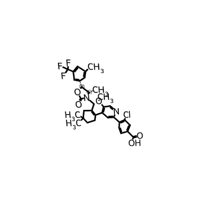 COc1cnc(-c2ccc(C(=O)O)cc2Cl)cc1C1=C(CN2C(=O)O[C@H](c3cc(C)cc(C(F)(F)F)c3)[C@@H]2C)CC(C)(C)CC1